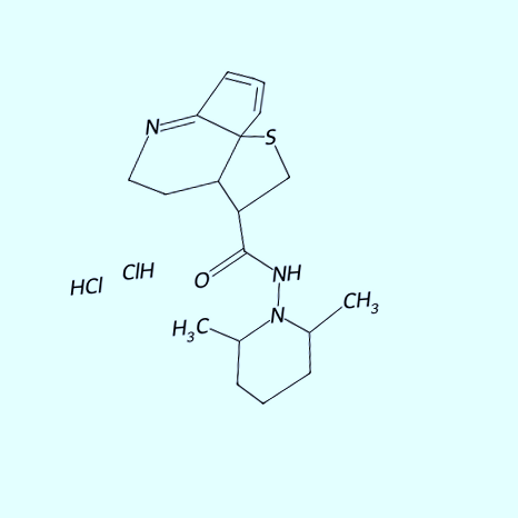 CC1CCCC(C)N1NC(=O)C1CSC23C=CC=CC2=NCCC13.Cl.Cl